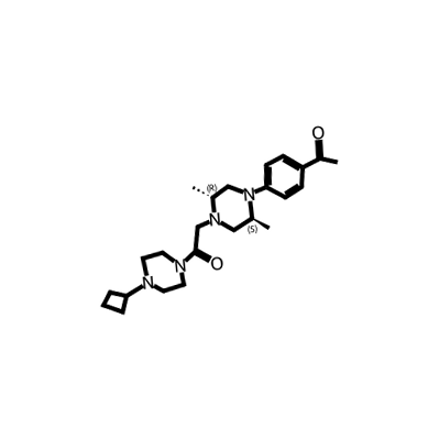 CC(=O)c1ccc(N2C[C@@H](C)N(CC(=O)N3CCN(C4CCC4)CC3)C[C@@H]2C)cc1